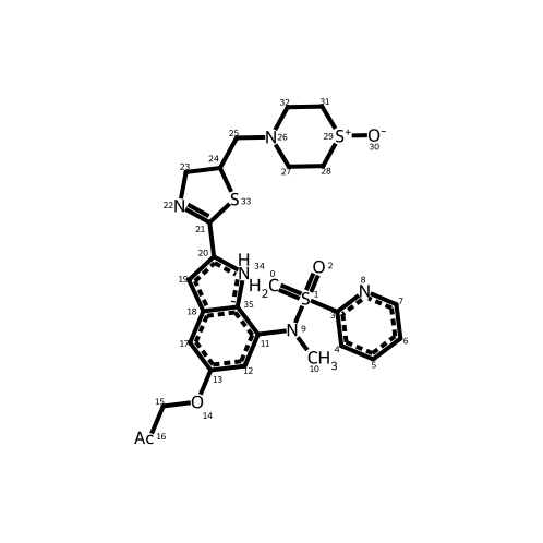 C=S(=O)(c1ccccn1)N(C)c1cc(OCC(C)=O)cc2cc(C3=NCC(CN4CC[S+]([O-])CC4)S3)[nH]c12